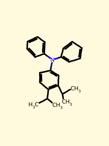 CC(C)c1ccc(N(c2ccccc2)c2ccccc2)cc1C(C)C